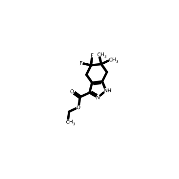 CCOC(=O)c1n[nH]c2c1CC(F)(F)C(C)(C)C2